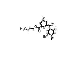 CCCCOC(=O)c1cc(Br)cc(C(=O)c2cc(Br)c(F)cc2F)c1